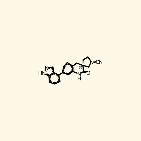 N#CN1CC[C@@]2(Cc3ccc(-c4cccc5[nH]ncc45)cc3NC2=O)C1